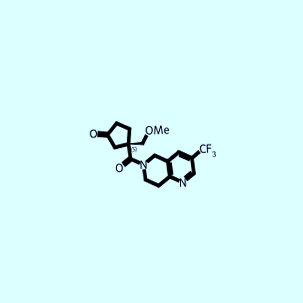 COC[C@]1(C(=O)N2CCc3ncc(C(F)(F)F)cc3C2)CCC(=O)C1